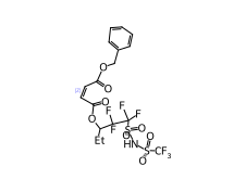 CCC(OC(=O)/C=C\C(=O)OCc1ccccc1)C(F)(F)C(F)(F)S(=O)(=O)NS(=O)(=O)C(F)(F)F